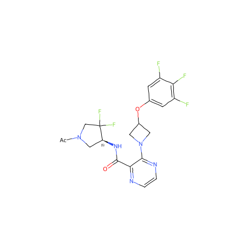 CC(=O)N1C[C@H](NC(=O)c2nccnc2N2CC(Oc3cc(F)c(F)c(F)c3)C2)C(F)(F)C1